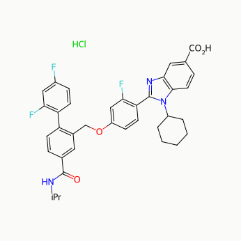 CC(C)NC(=O)c1ccc(-c2ccc(F)cc2F)c(COc2ccc(-c3nc4cc(C(=O)O)ccc4n3C3CCCCC3)c(F)c2)c1.Cl